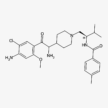 COc1cc(N)c(Cl)cc1C(=O)C(N)C1CCN(C[C@H](NC(=O)c2ccc(C)cc2)C(C)C)CC1